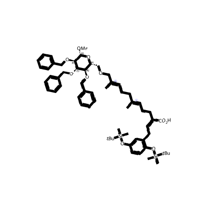 CO[C@@H]1O[C@H](COC/C(C)=C/CC/C(C)=C/CCC(=CCc2cc(O[Si](C)(C)C(C)(C)C)ccc2O[Si](C)(C)C(C)(C)C)C(=O)O)[C@@H](OCc2ccccc2)[C@H](OCc2ccccc2)[C@H]1OCc1ccccc1